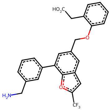 NCc1cccc(-c2cc(COc3ccccc3CC(=O)O)cc3cc(C(F)(F)F)oc23)c1